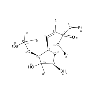 B[C@@H]1O[C@H](C=C(F)P(=O)(OCC)OCC)[C@H](O[Si](C)(C)C(C)(C)C)C1(C)O